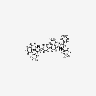 c1ccc(-c2cc(-c3ccc(-c4ccc(-c5nc(-c6ccncc6)cc(-c6ccncc6)n5)c5ccccc45)cc3)nc3ccc4ccccc4c23)cc1